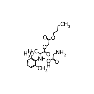 CCCCOC(=O)COC(=O)[C@H](C)Nc1c(C)cccc1C.NCC(=O)O